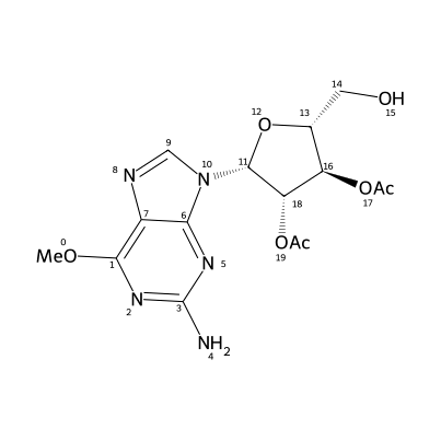 COc1nc(N)nc2c1ncn2[C@@H]1O[C@H](CO)[C@@H](OC(C)=O)[C@@H]1OC(C)=O